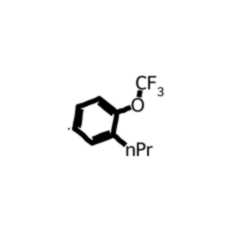 CCCc1c[c]ccc1OC(F)(F)F